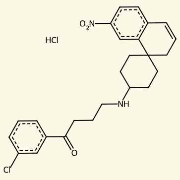 Cl.O=C(CCCNC1CCC2(CC=Cc3ccc([N+](=O)[O-])cc32)CC1)c1cccc(Cl)c1